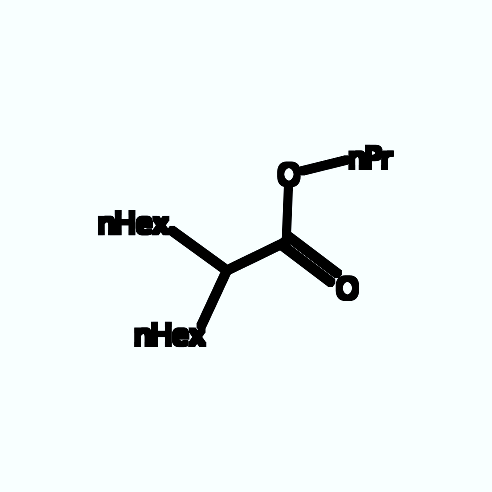 CCCCCCC(CCCCCC)C(=O)OCCC